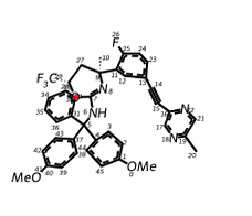 COc1ccc(C(NC2=N[C@](C)(c3cc(C#Cc4cnc(C)cn4)ccc3F)C[C@@H](C(F)(F)F)O2)(c2ccccc2)c2ccc(OC)cc2)cc1